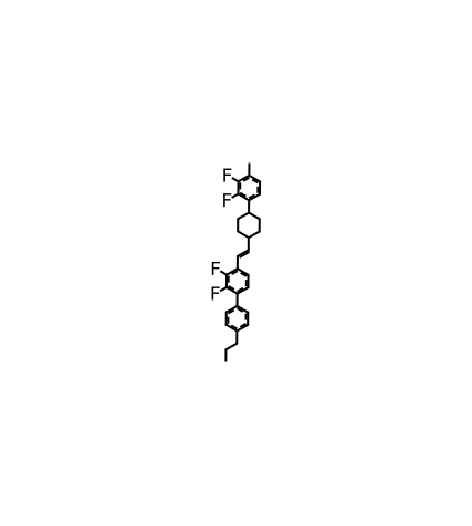 CCCc1ccc(-c2ccc(/C=C/C3CCC(c4ccc(C)c(F)c4F)CC3)c(F)c2F)cc1